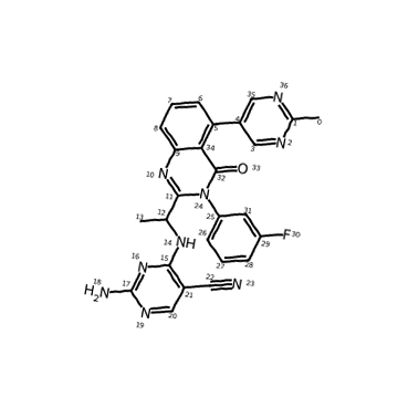 Cc1ncc(-c2cccc3nc(C(C)Nc4nc(N)ncc4C#N)n(-c4cccc(F)c4)c(=O)c23)cn1